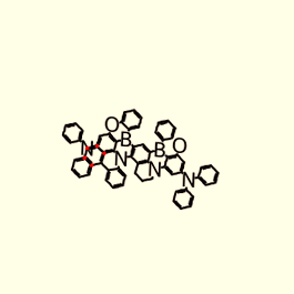 c1ccc(-c2ccccc2N2c3cc(N(c4ccccc4)c4ccccc4)cc4c3B(c3ccccc3O4)c3cc4c5c(c32)CCCN5c2cc(N(c3ccccc3)c3ccccc3)cc3c2B4c2ccccc2O3)cc1